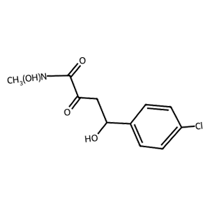 CN(O)C(=O)C(=O)CC(O)c1ccc(Cl)cc1